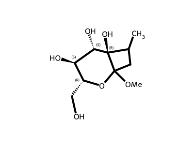 COC12CC(C)[C@@]1(O)[C@@H](O)[C@H](O)[C@@H](CO)O2